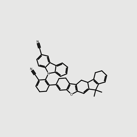 CC1(C)C2=Cc3oc4c(c3CC2C2=C1C=CCC2)CCC(C1=C(n2c3ccccc3c3cc(C#N)ccc32)C(C#N)=CCC1)=C4